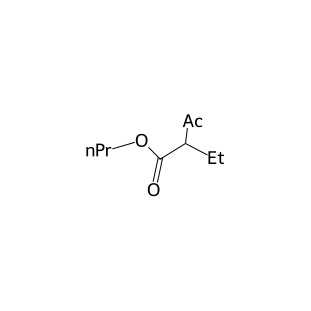 CCCOC(=O)C(CC)C(C)=O